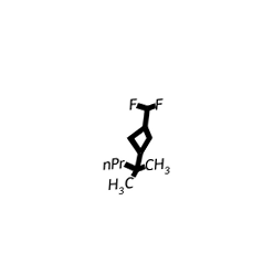 CCCC(C)(C)C1CC(C(F)F)C1